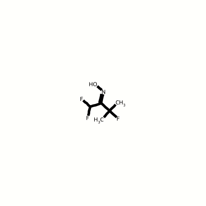 CC(C)(F)C(=NO)C(F)F